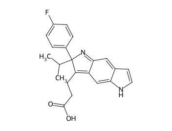 CC(C)C1(c2ccc(F)cc2)N=c2cc3cc[nH]c3cc2=C1CCC(=O)O